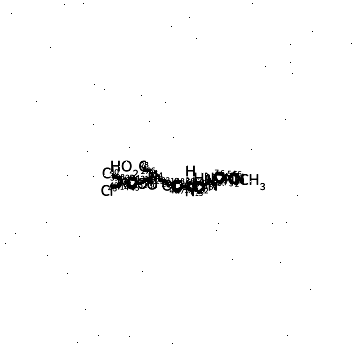 CN1CCN(c2ccc3[nH]c(-c4ccc5nc(-c6ccc(OCCCN(CCC(=O)O)C(=O)COc7ccc(N(CCCl)CCCl)cc7)cc6)[nH]c5c4)nc3c2)CC1